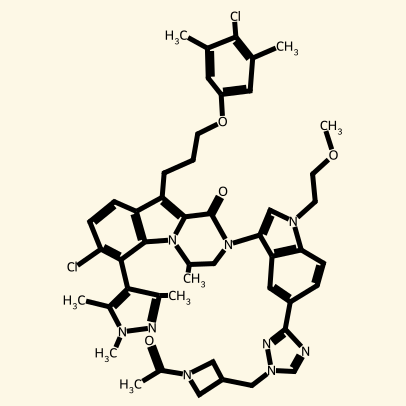 COCCn1cc(N2CC(C)n3c(c(CCCOc4cc(C)c(Cl)c(C)c4)c4ccc(Cl)c(-c5c(C)nn(C)c5C)c43)C2=O)c2cc(-c3ncn(CC4CN(C(C)=O)C4)n3)ccc21